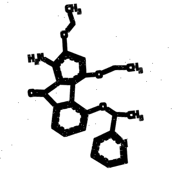 CCOc1cc(OCC)c2c(c1N)C(=O)c1cccc(OC(C)c3ccccn3)c1-2